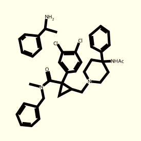 CC(=O)NC1(c2ccccc2)CCN(CC2CC2(C(=O)N(C)Cc2ccccc2)c2ccc(Cl)c(Cl)c2)CC1.CC(N)c1ccccc1